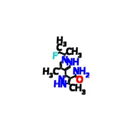 CC1=CN(C(C)C(C)F)NC=C1c1n[nH]c(C)c1C(N)=O